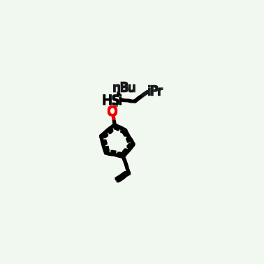 C=Cc1ccc(O[SiH](CCCC)CC(C)C)cc1